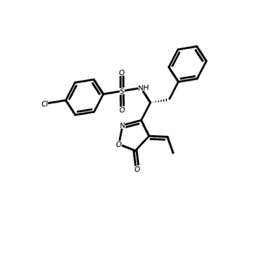 CC=C1C(=O)ON=C1[C@@H](Cc1ccccc1)NS(=O)(=O)c1ccc(Cl)cc1